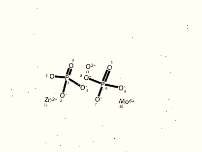 O=P([O-])([O-])[O-].O=P([O-])([O-])[O-].[Mo+6].[O-2].[Zn+2]